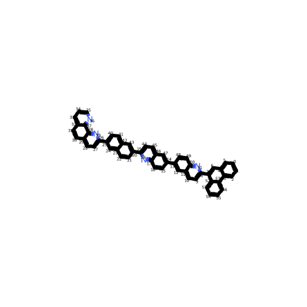 c1ccc2c(c1)cc(-c1ccc3cc(-c4ccc5nc(-c6ccc7cc(-c8ccc9ccc%10cccnc%10c9n8)ccc7c6)ccc5c4)ccc3n1)c1ccccc12